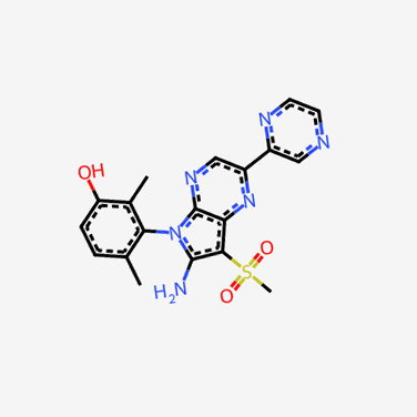 Cc1ccc(O)c(C)c1-n1c(N)c(S(C)(=O)=O)c2nc(-c3cnccn3)cnc21